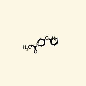 C=CC(=O)N1CCC(Oc2cccnn2)CC1